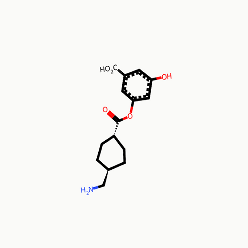 NC[C@H]1CC[C@H](C(=O)Oc2cc(O)cc(C(=O)O)c2)CC1